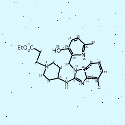 CCOC(=O)CCN1CCC(Nc2nc3c(C)cccc3n2Cc2nc(C)ccc2O)CC1